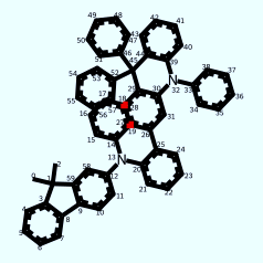 CC1(C)c2ccccc2-c2ccc(N(c3ccccc3)c3ccccc3-c3ccc4c(c3)N(c3ccccc3)c3ccccc3C4(c3ccccc3)c3ccccc3)cc21